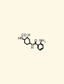 Nc1ccccc1C(=O)NC1CCC(NC(=O)O)CC1